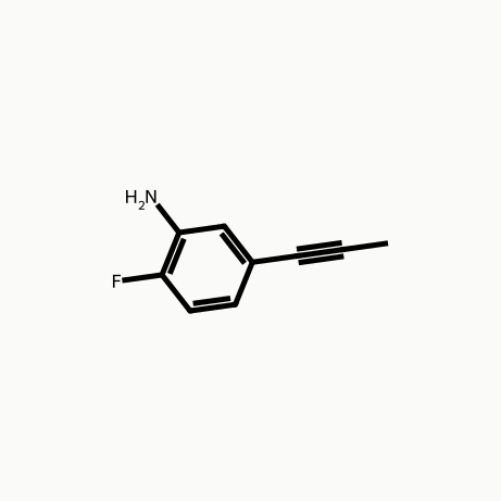 CC#Cc1ccc(F)c(N)c1